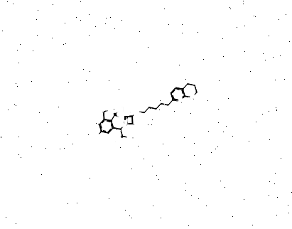 CC1(C)OCc2cc(F)cc(C(C(=O)O)N3CC(OCCCCCc4ccc5c(n4)NCCC5)C3)c21